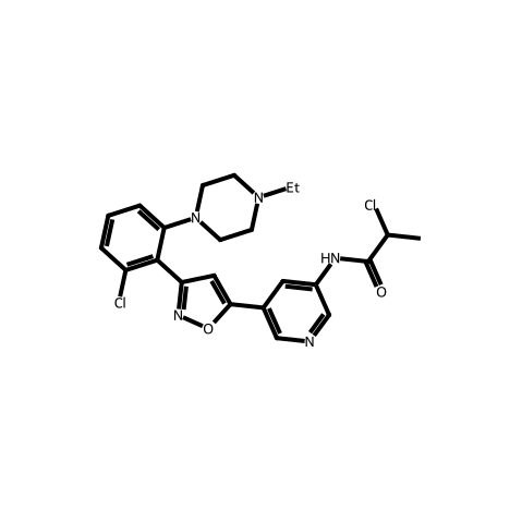 CCN1CCN(c2cccc(Cl)c2-c2cc(-c3cncc(NC(=O)C(C)Cl)c3)on2)CC1